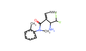 CN/C=C(/C(=O)N(C)c1ccccc1C)C(N)C(F)F